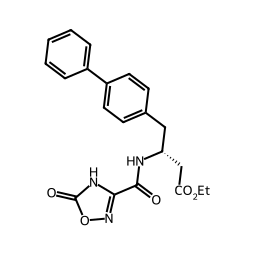 CCOC(=O)C[C@@H](Cc1ccc(-c2ccccc2)cc1)NC(=O)c1noc(=O)[nH]1